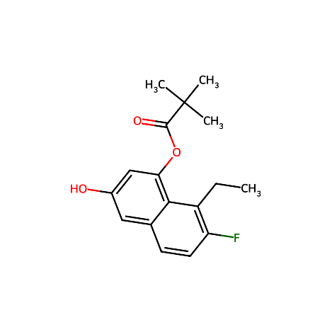 CCc1c(F)ccc2cc(O)cc(OC(=O)C(C)(C)C)c12